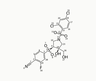 N#Cc1ccc(S(=O)(=O)[C@H]2CN(S(=O)(=O)c3ccc(Cl)cc3Cl)C[C@]2(O)CO)cc1F